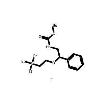 CC[N+](CC)(CC)CCOC(CNC(=O)OC(C)(C)C)c1ccccc1.[I-]